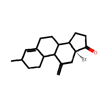 C=C1C[C@]2(CC)C(=O)CCC2C2CCC3=CC(C)CCC3C12